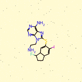 NCCn1c(SC2=CC3C(F)CCC3C=C2I)nc2c(N)ncnc21